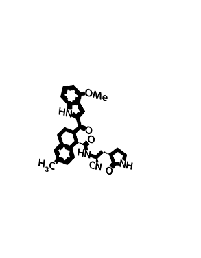 COc1cccc2[nH]c(C(=O)C3CCc4cc(C)ccc4[C@H]3C(=O)N[C@H](C#N)C[C@@H]3CCNC3=O)cc12